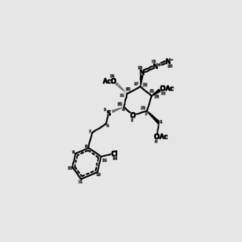 CC(=O)OC[C@H]1O[C@H](SCCc2ccccc2Cl)[C@H](OC(C)=O)[C@@H](N=[N+]=[N-])[C@H]1OC(C)=O